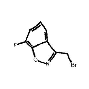 Fc1cccc2c(CBr)noc12